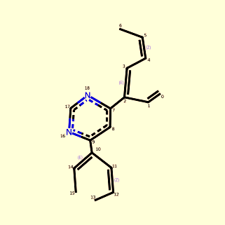 C=C/C(=C\C=C/C)c1cc(C(/C=C\C)=C/C)ncn1